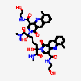 CNC(=O)C(O)(CCCC(O)(C(=O)NC)n1cc(C(=O)NCCO)c2nc3c(C)cccc3cc2c1=O)n1cc(C(=O)NCCO)c2nc3c(C)cccc3cc2c1=O